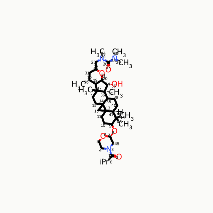 CC(C)C(=O)N1CCO[C@@H](OC2CCC34CC35CCC3(C)C6C(OC(CN(C)C(=O)N(C)C)C[C@H]6C)[C@H](O)[C@@]3(C)C5CC[C@H]4C2(C)C)C1